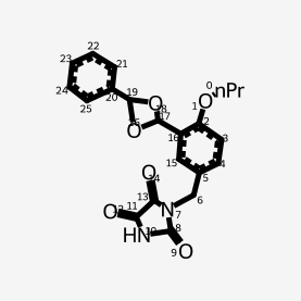 CCCOc1ccc(CN2C(=O)NC(=O)C2=O)cc1C1OC(c2ccccc2)O1